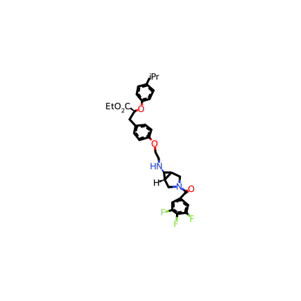 CCOC(=O)[C@H](Cc1ccc(OCCN[C@H]2C3CN(C(=O)c4cc(F)c(F)c(F)c4)C[C@@H]32)cc1)Oc1ccc(C(C)C)cc1